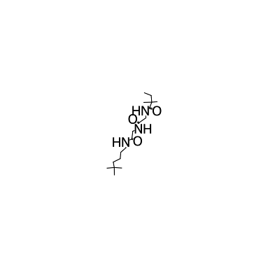 CCC(C)(C)C(=O)NCC(=O)NCC(=O)NCCCCC(C)(C)C